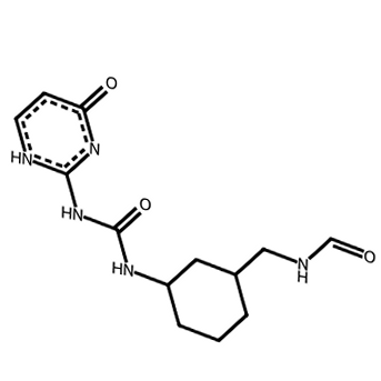 O=CNCC1CCCC(NC(=O)Nc2nc(=O)cc[nH]2)C1